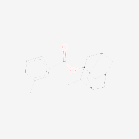 Cc1cccc(C(=O)OC23CC4CC(CC(C4)C2C)C3)c1